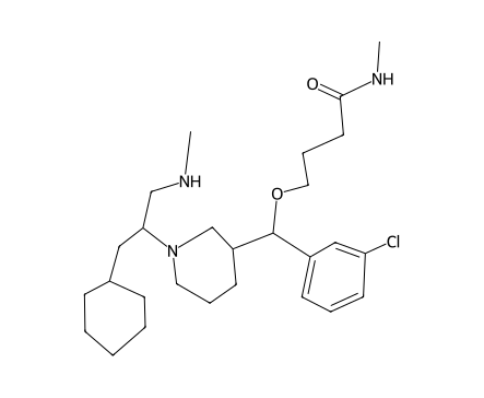 CNCC(CC1CCCCC1)N1CCCC(C(OCCCC(=O)NC)c2cccc(Cl)c2)C1